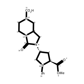 COC(=O)[C@@H]1C[C@@H](N2CC3CN(C(=O)O)CCN3C2=O)CN1C(C)C